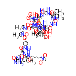 CC[C@H](C)[C@H]1NC(=O)CNC(=O)[C@H]2Cc3c([nH]c4cc(OC)ccc34)S(=O)(=O)C[C@H](NC(=O)CNC1=O)C(=O)N[C@@H](CCC(=O)O)C(=O)N1C[C@@H](OC(=O)N(C)CCN(C)C(=O)OCc3ccc(NC(=O)[C@@H](CCCNC(N)=O)NC(=O)[C@@H](NC(=O)CCCCCN4C(=O)C=CC4=O)C(C)C)cc3)CC1C(=O)N[C@H]([C@@H](C)[C@@H](O)CO)C(=O)N2